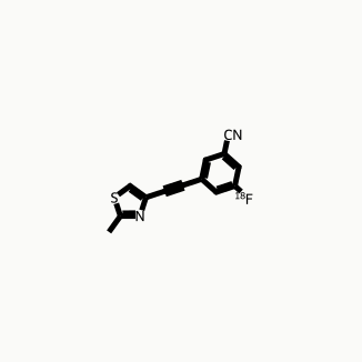 Cc1nc(C#Cc2cc([18F])cc(C#N)c2)cs1